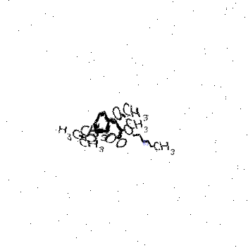 CC/C=C/CCOc1c(OC(C)C)c2cccc(OC(C)(C)C)c2oc1=O